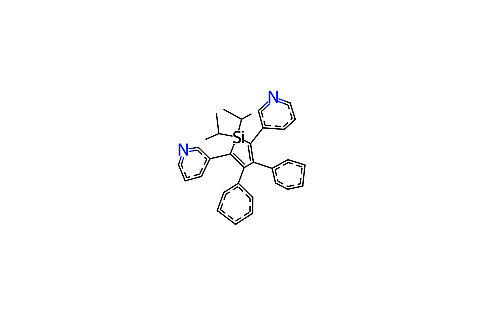 CC(C)[Si]1(C(C)C)C(c2cccnc2)=C(c2ccccc2)C(c2ccccc2)=C1c1cccnc1